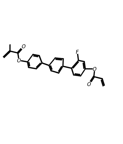 C=CC(=O)Oc1ccc(-c2ccc(-c3ccc(OC(=O)C(=C)C)cc3)cc2)c(F)c1